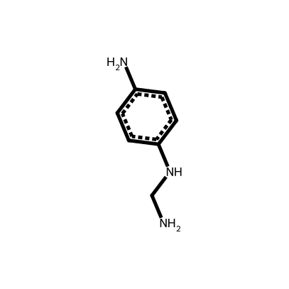 NCNc1ccc(N)cc1